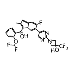 CC1=C([C@H](O)c2ccccc2OC(F)F)C2C=C(c3cnc(N4CC(O)(C(F)(F)F)C4)nc3)C(F)=CC2=C1